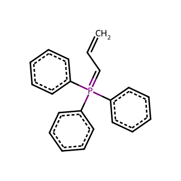 C=CC=P(c1ccccc1)(c1ccccc1)c1ccccc1